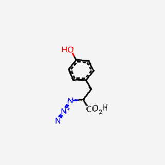 [N-]=[N+]=NC(Cc1ccc(O)cc1)C(=O)O